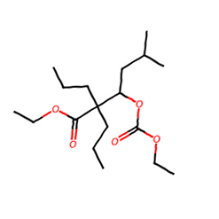 CCCC(CCC)(C(=O)OCC)C(CC(C)C)OC(=O)OCC